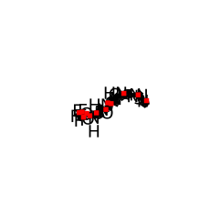 O=C(Oc1c(F)c(F)c(F)c(F)c1F)c1cc2c3c(ccc2[nH]1)N(C(=O)c1cc2c4c(ccc2[nH]1)N(C(=O)c1cc2cc(/N=N/c5cnc(N6CCCC6)s5)ccc2[nH]1)CC4)CC3